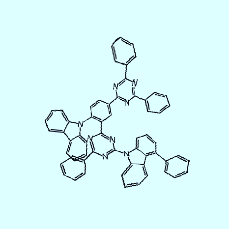 c1ccc(-c2nc(-c3ccccc3)nc(-c3ccc(-n4c5ccccc5c5ccccc54)c(-c4nc(-c5ccccc5)nc(-n5c6ccccc6c6c(-c7ccccc7)cccc65)n4)c3)n2)cc1